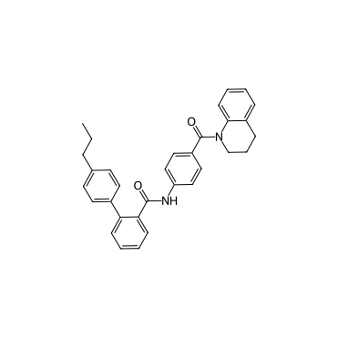 CCCc1ccc(-c2ccccc2C(=O)Nc2ccc(C(=O)N3CCCc4ccccc43)cc2)cc1